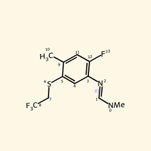 CN/C=N/c1cc(SCC(F)(F)F)c(C)cc1F